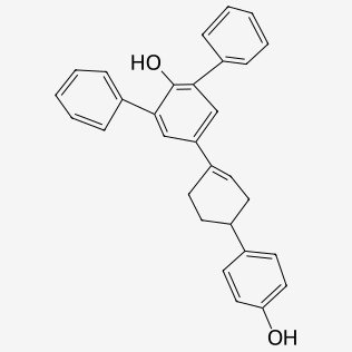 Oc1ccc(C2CC=C(c3cc(-c4ccccc4)c(O)c(-c4ccccc4)c3)CC2)cc1